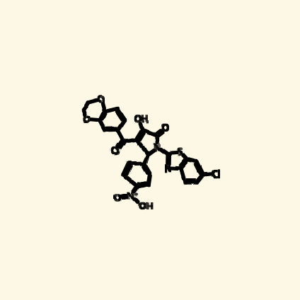 O=C(C1=C(O)C(=O)N(c2nc3ccc(Cl)cc3s2)[C@H]1c1ccc([N+](=O)O)cc1)c1ccc2c(c1)OCCO2